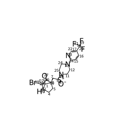 CC1(C)[C@@H]2CC[C@@]1(C[S+]([O-])N1CCN(c3ccc(C(F)(F)F)cn3)CC1)C(=O)C2Br